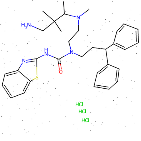 CC(N(C)CCN(CCC(c1ccccc1)c1ccccc1)C(=O)Nc1nc2ccccc2s1)C(C)(C)CN.Cl.Cl.Cl